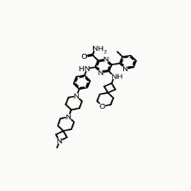 Cc1cccnc1-c1nc(C(N)=O)c(Nc2ccc(N3CCC(N4CCC5(CC4)CN(C)C5)CC3)cc2)nc1NC1CC2(CCOCC2)C1